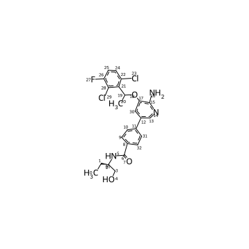 CC[C@H](CO)NC(=O)c1ccc(-c2cnc(N)c(OC(C)c3c(Cl)ccc(F)c3Cl)c2)cc1